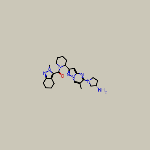 Cc1cn2nc([C@@H]3CCCCN3C(=O)c3c4c(nn3C)CCCC4)cc2nc1N1CC[C@H](N)C1